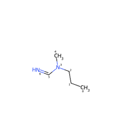 CCCN(C)C=N